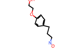 O=NCCCc1ccc(OCCO)cc1